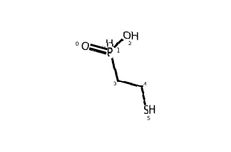 O=[PH](O)CCS